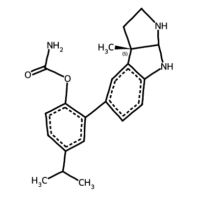 CC(C)c1ccc(OC(N)=O)c(-c2ccc3c(c2)[C@]2(C)CCNC2N3)c1